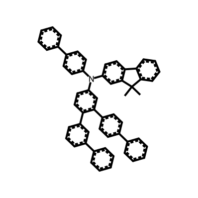 CC1(C)c2ccccc2-c2ccc(N(c3ccc(-c4ccccc4)cc3)c3ccc(-c4cccc(-c5ccccc5)c4)c(-c4ccc(-c5ccccc5)cc4)c3)cc21